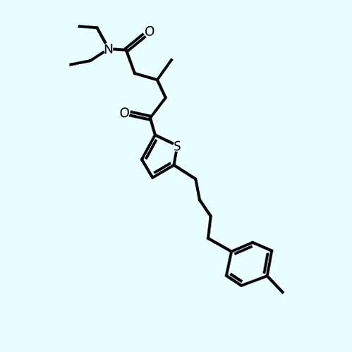 CCN(CC)C(=O)CC(C)CC(=O)c1ccc(CCCCc2ccc(C)cc2)s1